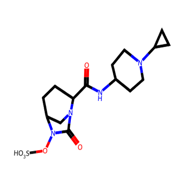 O=C(NC1CCN(C2CC2)CC1)C1CCC2CN1C(=O)N2OS(=O)(=O)O